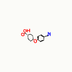 N#Cc1ccc(O[C@H]2CC[C@H](C(=O)O)CC2)cc1